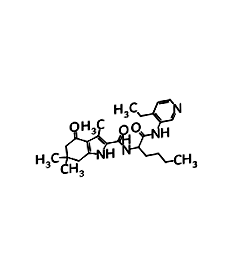 CCCCC(NC(=O)c1[nH]c2c(c1C)C(=O)CC(C)(C)C2)C(=O)Nc1cnccc1CC